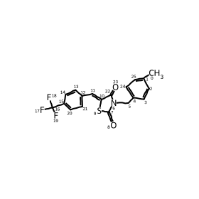 Cc1ccc(CN2C(=O)S/C(=C\c3ccc(C(F)(F)F)cc3)C2=O)cc1